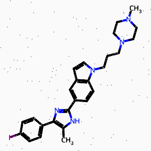 Cc1[nH]c(-c2ccc3c(ccn3CCCN3CCN(C)CC3)c2)nc1-c1ccc(I)cc1